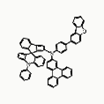 c1ccc(N2c3ccccc3C3(c4ccccc4-c4ccc(N(c5ccc(-c6ccc7oc8ccccc8c7c6)cc5)c5ccc6c7ccccc7c7ccccc7c6c5)cc43)c3ccccc32)cc1